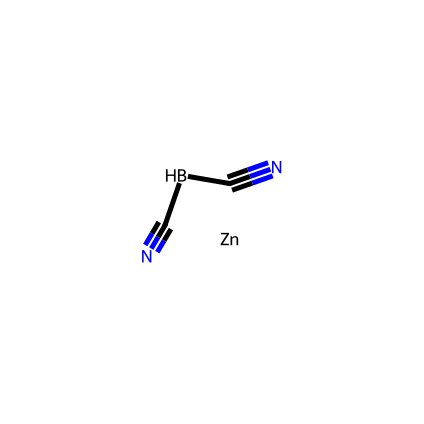 N#CBC#N.[Zn]